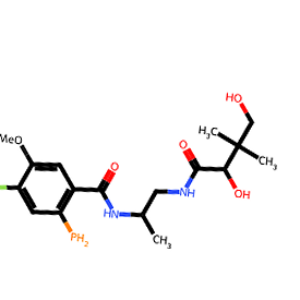 COc1cc(C(=O)NC(C)CNC(=O)C(O)C(C)(C)CO)c(P)cc1F